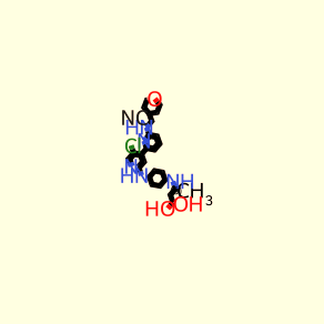 C[C@@H](CC(O)O)N[C@H]1CC[C@H](Nc2cc(-c3cccc(NCC4(C#N)CCOCC4)n3)c(Cl)cn2)CC1